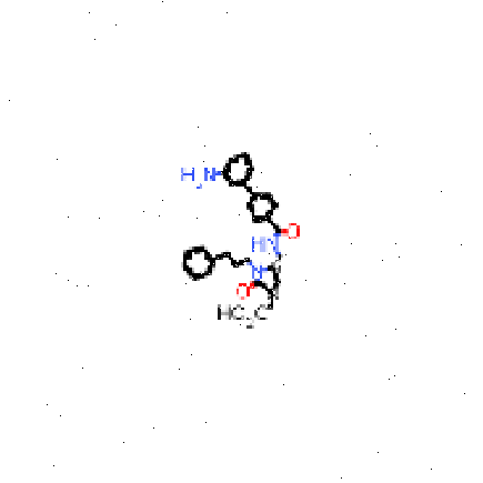 Nc1cccc(-c2ccc(C(=O)NC[C@@H]3C[C@@H](CC(=O)O)C(=O)N3CCCc3ccccc3)cc2)c1